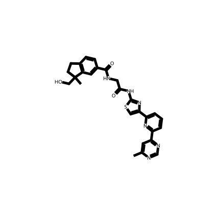 Cc1cc(-c2cccc(-c3csc(NC(=O)CNC(=O)c4ccc5c(c4)C(C)(CO)CC5)n3)n2)ncn1